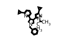 CC(C)n1nc(C2CC2)cc1C1CN(Cc2ccccc2)CC1c1cccc(C2CC2)n1